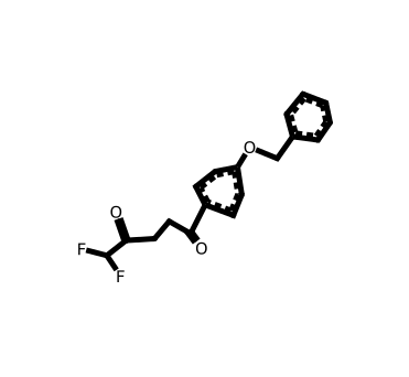 O=C(CCC(=O)C(F)F)c1ccc(OCc2ccccc2)cc1